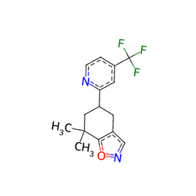 CC1(C)CC(c2cc(C(F)(F)F)ccn2)Cc2cnoc21